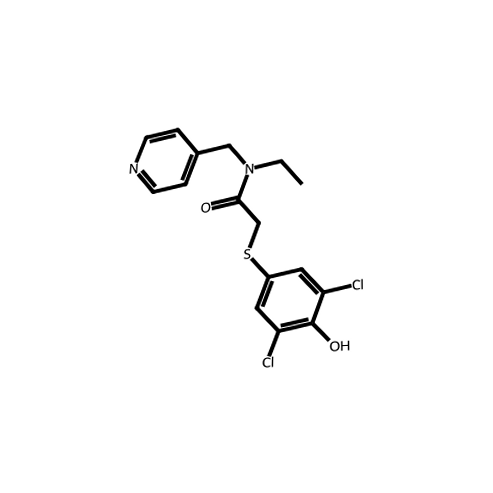 CCN(Cc1ccncc1)C(=O)CSc1cc(Cl)c(O)c(Cl)c1